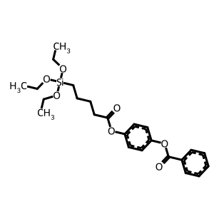 CCO[Si](CCCCC(=O)Oc1ccc(OC(=O)c2ccccc2)cc1)(OCC)OCC